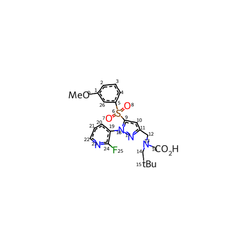 COc1cccc(S(=O)(=O)c2cc(CN(CC(C)(C)C)C(=O)O)nn2-c2cccnc2F)c1